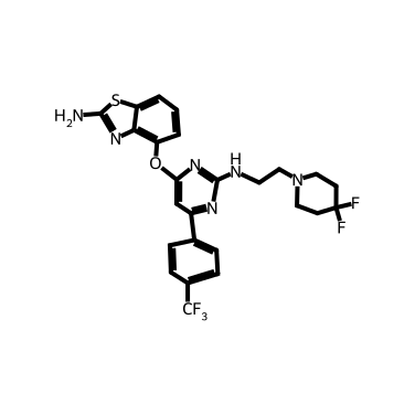 Nc1nc2c(Oc3cc(-c4ccc(C(F)(F)F)cc4)nc(NCCN4CCC(F)(F)CC4)n3)cccc2s1